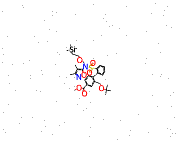 COC(=O)c1ccc(-c2ccccc2S(=O)(=O)N(COCC[Si](C)(C)C)c2onc(C)c2C)c(COC(C)(C)C)c1